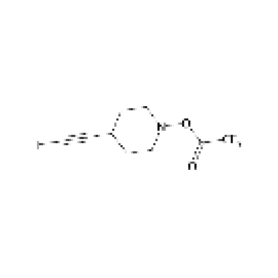 O=C(ON1CCC(C#CI)CC1)C(F)(F)F